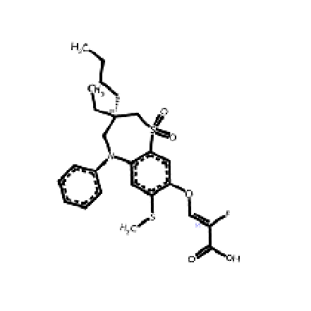 CCCC[C@@]1(CC)CN(c2ccccc2)c2cc(SC)c(O/C=C(\F)C(=O)O)cc2S(=O)(=O)C1